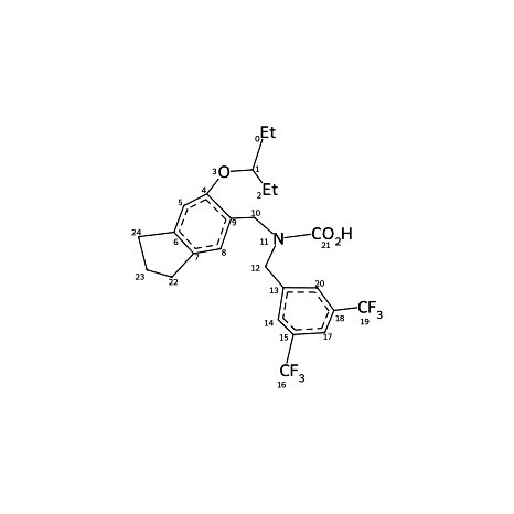 CCC(CC)Oc1cc2c(cc1CN(Cc1cc(C(F)(F)F)cc(C(F)(F)F)c1)C(=O)O)CCC2